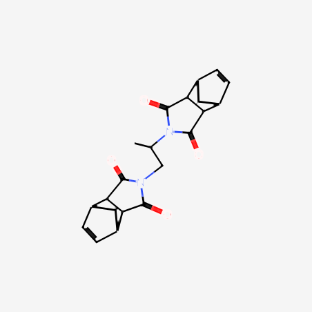 CC(CN1C(=O)C2C3C=CC(C3)C2C1=O)N1C(=O)C2C3C=CC(C3)C2C1=O